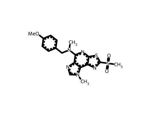 COc1ccc(CN(C)c2nc3sc(S(C)(=O)=O)nc3c3c2ncn3C)cc1